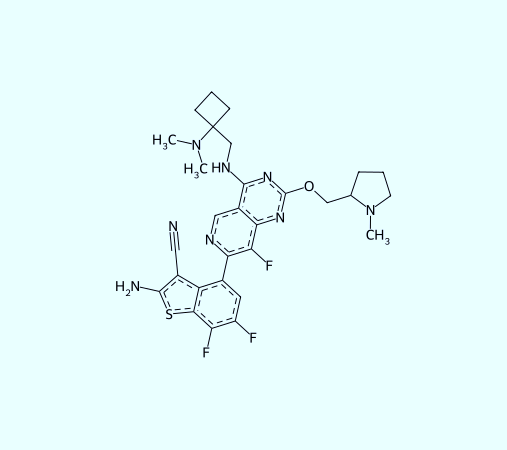 CN1CCCC1COc1nc(NCC2(N(C)C)CCC2)c2cnc(-c3cc(F)c(F)c4sc(N)c(C#N)c34)c(F)c2n1